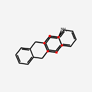 Nc1ccc2c(c1)C1c3ccccc3C2c2cc3ccccc3cc21